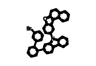 Brc1cccc(-c2ccccc2-c2ccc3c4ccccc4n(-c4ccc5oc6ccc7ccccc7c6c5c4)c3c2)c1